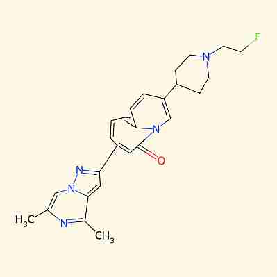 Cc1cn2nc(C3=C\C(=O)N4C=C(C5CCN(CCF)CC5)C=C\C4=C/C=C/3)cc2c(C)n1